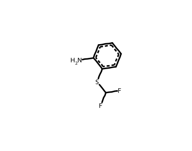 Nc1ccccc1SC(F)F